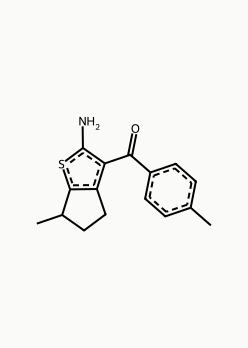 Cc1ccc(C(=O)c2c(N)sc3c2CCC3C)cc1